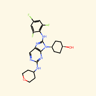 O[C@H]1CC[C@@H](n2c(Nc3c(F)cc(F)cc3F)nc3cnc(NC4CCOCC4)nc32)CC1